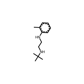 Cc1ccccc1NCCNC(C)(C)C